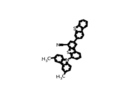 Cc1ccc2c(c1)c1cc(C)ccc1n2-c1cccc2c1sc1c(C#N)cc(-c3ccc4c(c3)sc3ccccc34)cc12